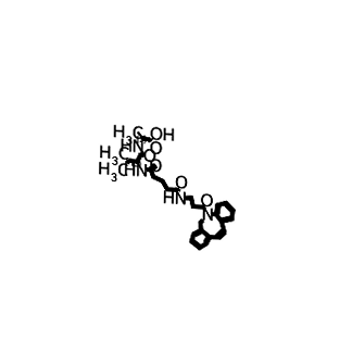 CC(C)[C@H](NC(=O)CCCC(=O)NCCC(=O)N1Cc2ccccc2C#Cc2ccccc21)C(=O)N[C@@H](C)C(=O)O